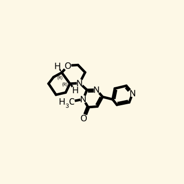 Cn1c(N2CCO[C@@H]3CCCC[C@H]32)nc(-c2ccncc2)cc1=O